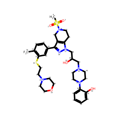 CS(=O)(=O)N1CCc2c(c(-c3ccc(C(F)(F)F)c(SCCN4CCOCC4)c3)nn2CC(O)CN2CCN(c3ccccc3O)CC2)C1